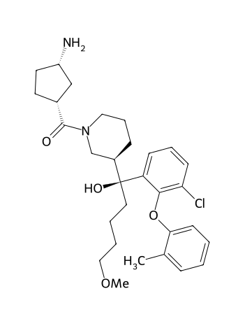 COCCCC[C@@](O)(c1cccc(Cl)c1Oc1ccccc1C)[C@@H]1CCCN(C(=O)[C@@H]2CC[C@H](N)C2)C1